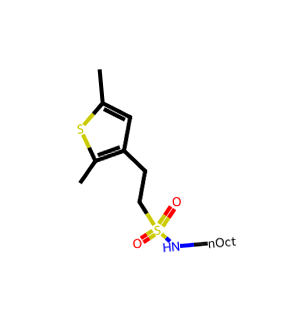 CCCCCCCCNS(=O)(=O)CCc1cc(C)sc1C